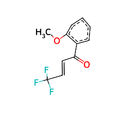 COc1ccccc1C(=O)C=CC(F)(F)F